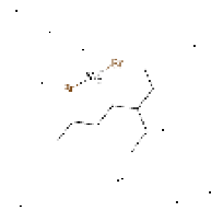 [Br][Mg][Br].[CH2]CC(CC)CCCC